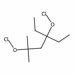 CCC(CC)(CC(C)(C)OCl)OCl